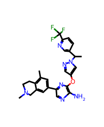 Cc1cc(-c2cnc(N)c(Oc3cnn(C(C)c4ccc(C(F)(F)F)nc4)c3)n2)cc2c1CCN(C)C2